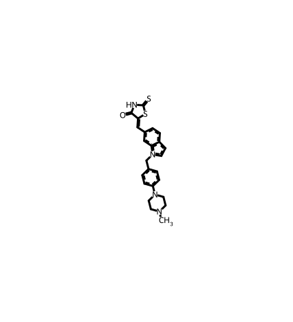 CN1CCN(c2ccc(Cn3ccc4ccc(/C=C5\SC(=S)NC5=O)cc43)cc2)CC1